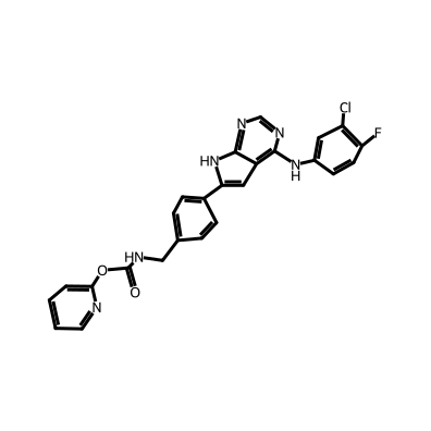 O=C(NCc1ccc(-c2cc3c(Nc4ccc(F)c(Cl)c4)ncnc3[nH]2)cc1)Oc1ccccn1